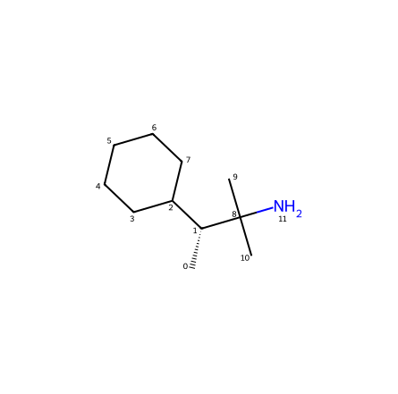 C[C@H](C1CCCCC1)C(C)(C)N